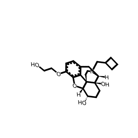 OCCOc1ccc2c3c1O[C@H]1[C@@H](O)CC[C@@]4(O)[C@@H](C2)N(CC2CCC2)CC[C@]314